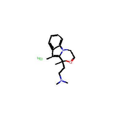 Cc1c2n(c3ccccc13)CCOC2(C)CCN(C)C.Cl